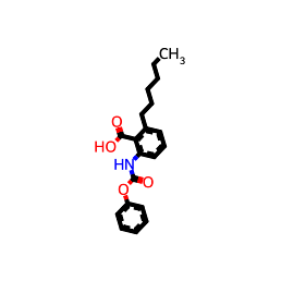 CCCCCCc1cccc(NC(=O)Oc2ccccc2)c1C(=O)O